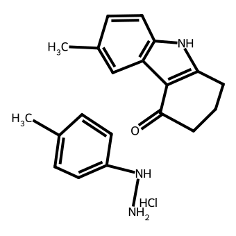 Cc1ccc(NN)cc1.Cc1ccc2[nH]c3c(c2c1)C(=O)CCC3.Cl